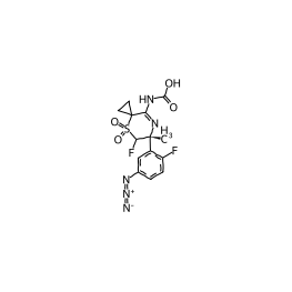 C[C@]1(c2cc(N=[N+]=[N-])ccc2F)N=C(NC(=O)O)C2(CC2)S(=O)(=O)C1F